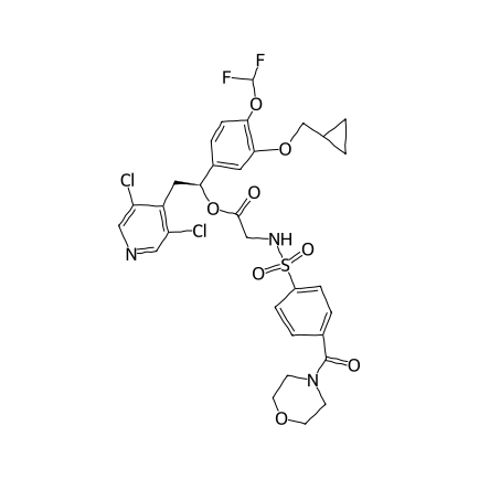 O=C(CNS(=O)(=O)c1ccc(C(=O)N2CCOCC2)cc1)O[C@@H](Cc1c(Cl)cncc1Cl)c1ccc(OC(F)F)c(OCC2CC2)c1